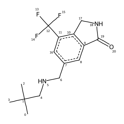 CC(C)(C)CNCc1cc2c(c(C(F)(F)F)c1)CNC2=O